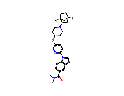 CN(C)C(=O)c1ccc2c(ccn2-c2ccc(OC3CCN(C4C[C@H]5CC[C@H]4C5)CC3)cn2)c1